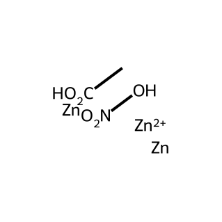 CC(=O)O.O=[N+]([O-])O.[Zn+2].[Zn].[Zn]